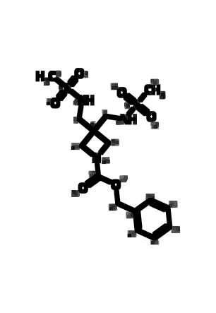 CS(=O)(=O)NCC1(CNS(C)(=O)=O)CN(C(=O)OCc2ccccc2)C1